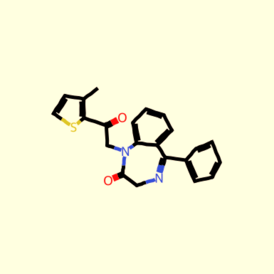 Cc1ccsc1C(=O)CN1C(=O)CN=C(c2ccccc2)c2ccccc21